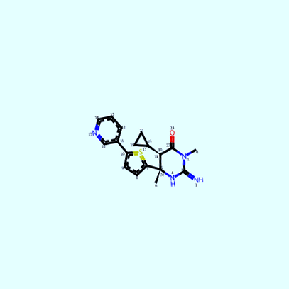 CN1C(=N)N[C@](C)(c2ccc(-c3cccnc3)s2)[C@@H](C2CC2)C1=O